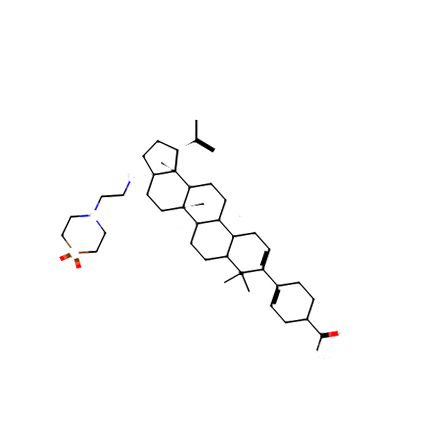 C=C(C)[C@@H]1CC[C@]2(NCCN3CCS(=O)(=O)CC3)CC[C@]3(C)[C@H](CCC4[C@@]5(C)CC=C(C6=CCC(C(=O)OC)CC6)C(C)(C)C5CC[C@]43C)[C@@H]12